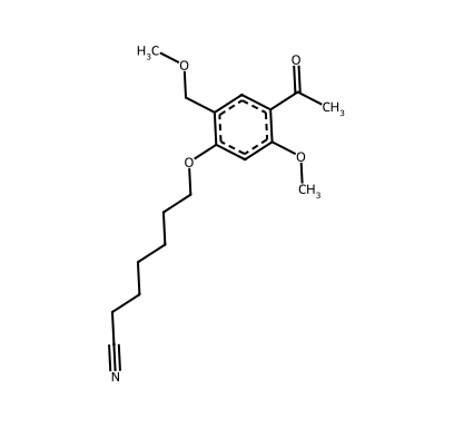 COCc1cc(C(C)=O)c(OC)cc1OCCCCCCC#N